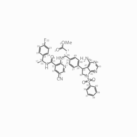 COC(=O)C[C@@H](Nc1ncc(C#N)cc1C(=O)N[C@@H](C)c1ccc(F)cc1)c1ccc(C2CN(S(=O)(=O)c3ccccc3)c3ncnc(N)c32)cc1